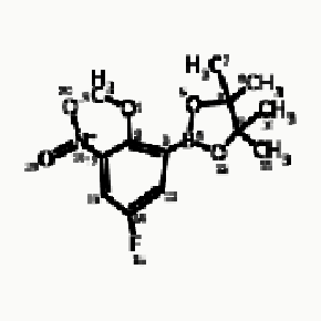 COc1c(B2OC(C)(C)C(C)(C)O2)cc(F)cc1[N+](=O)[O-]